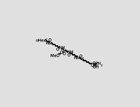 CCCCCCSCC(=O)NCCCCCC(=O)NCCN(CCNC(=O)CCCCCNC(=O)CSCCCCCCOP(=O)(O)OP)C(=O)OCCOC